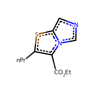 CCCc1sc2cncn2c1C(=O)OCC